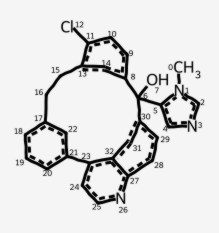 Cn1cncc1C1(O)c2ccc(Cl)c(c2)CCc2cccc(c2)-c2ccnc3ccc1cc23